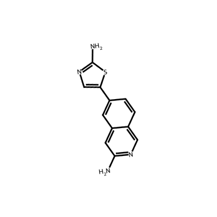 Nc1cc2cc(-c3cnc(N)s3)ccc2cn1